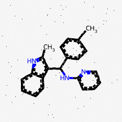 Cc1ccc(C(Nc2ccccn2)c2c(C)[nH]c3ccccc23)cc1